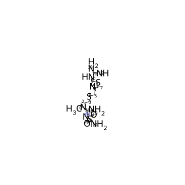 CN(CCSCc1csc(NC(=N)N)n1)/C(N)=N/S(N)(=O)=O